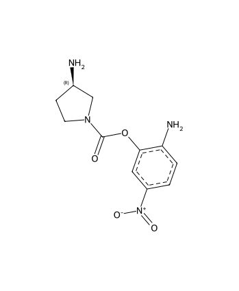 Nc1ccc([N+](=O)[O-])cc1OC(=O)N1CC[C@@H](N)C1